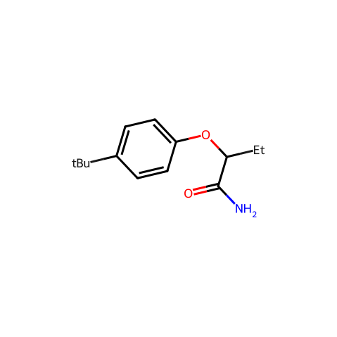 [CH2]CC(Oc1ccc(C(C)(C)C)cc1)C(N)=O